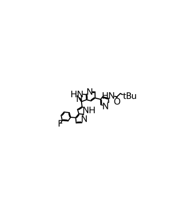 CC(C)(C)CC(=O)Nc1cncc(-c2cnc3[nH]nc(-c4cc5c(-c6cccc(F)c6)ccnc5[nH]4)c3c2)c1